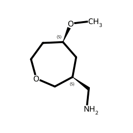 CO[C@@H]1CCOC[C@H](CN)C1